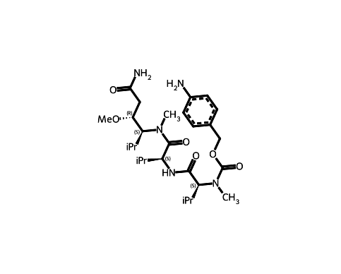 CO[C@H](CC(N)=O)[C@H](C(C)C)N(C)C(=O)[C@@H](NC(=O)[C@H](C(C)C)N(C)C(=O)OCc1ccc(N)cc1)C(C)C